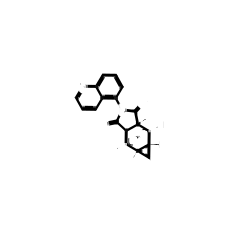 O=C1C2[C@H]3CC[C@H]([C@@H]4C[C@@H]43)[C@H]2C(=O)N1c1cccc2ncccc12